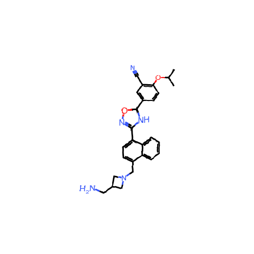 CC(C)Oc1ccc(C2NC(c3ccc(CN4CC(CN)C4)c4ccccc34)=NO2)cc1C#N